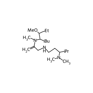 C=C(CNCCC(C(C)C)N(C)C)N(C)C(C(C)CC)C(CC)OC